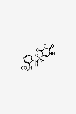 O=C(O)c1ccccc1NS(=O)(=O)c1c[nH]c(=O)[nH]c1=O